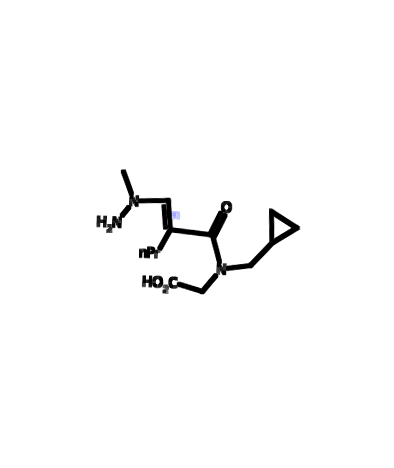 CCC/C(=C\N(C)N)C(=O)N(CC(=O)O)CC1CC1